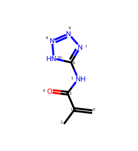 C=C(C)C(=O)Nc1nnn[nH]1